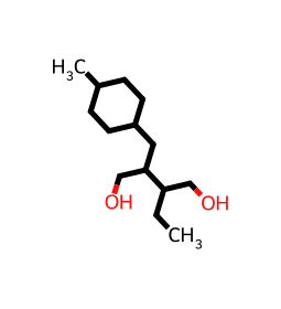 CCC(CO)C(CO)CC1CCC(C)CC1